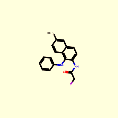 O=C(CI)Nc1ccc2cc(S(=O)(=O)O)ccc2c1Nc1ccccc1